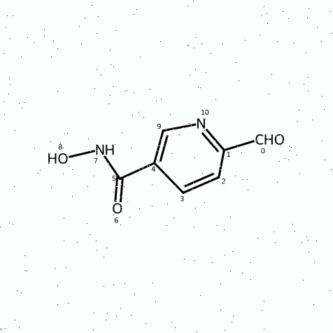 O=Cc1ccc(C(=O)NO)cn1